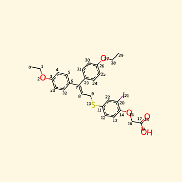 CCOc1ccc(C(=CCSc2ccc(OCC(=O)O)c(I)c2)c2ccc(OCC)cc2)cc1